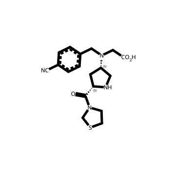 N#Cc1ccc(CN(CC(=O)O)[C@@H]2CN[C@H](C(=O)N3CCSC3)C2)cc1